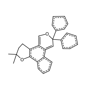 CC1(C)CCc2c(c3ccccc3c3c2=COC(c2ccccc2)(c2ccccc2)C=3)O1